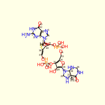 Nc1nc2c(ncn2C2=C3O[PH](O)(O)OCc4oc(N5CN[C@H]6C(=O)NCNC65)c(O)c4O[PH](O)(O)O/C=C(/S2)[C@H]3O)c(=O)[nH]1